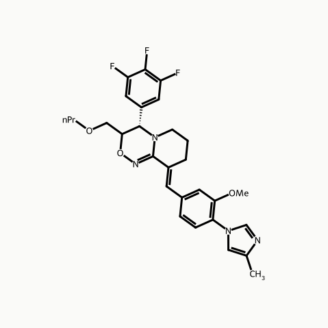 CCCOCC1ON=C2/C(=C/c3ccc(-n4cnc(C)c4)c(OC)c3)CCCN2[C@H]1c1cc(F)c(F)c(F)c1